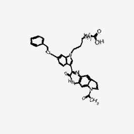 CC(=O)N1CCc2cc3nc(-c4cn(CCCN)c5cc(OCc6ccccc6)ccc45)c(=O)[nH]c3cc21.CC(=O)O